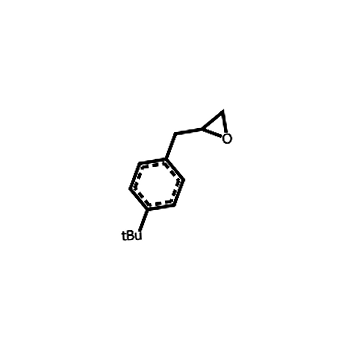 CC(C)(C)c1ccc(CC2CO2)cc1